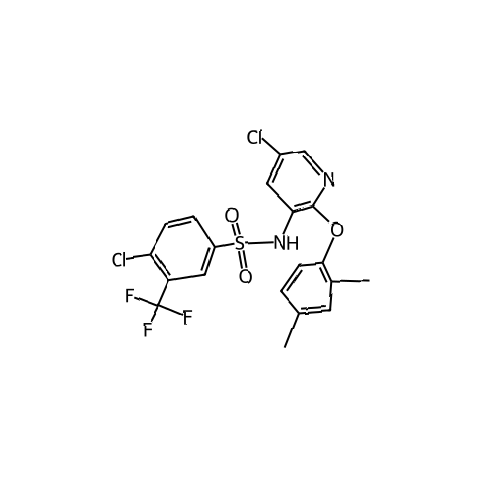 Cc1ccc(Oc2ncc(Cl)cc2NS(=O)(=O)c2ccc(Cl)c(C(F)(F)F)c2)c(C)c1